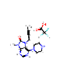 CC#CCn1c(=O)n(C)c2ncnc(N3CCNCC3)c21.O=C(O)C(F)(F)F